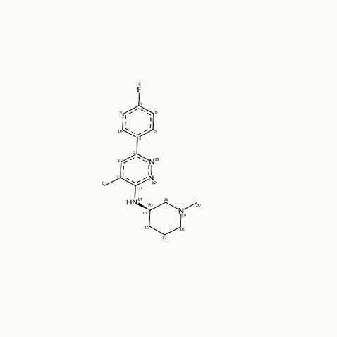 Cc1cc(-c2ccc(F)cc2)nnc1N[C@@H]1CCCN(C)C1